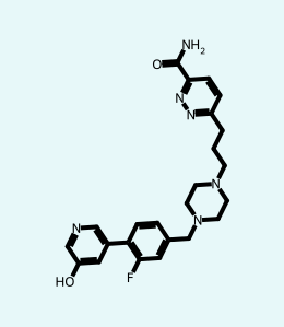 NC(=O)c1ccc(CCCN2CCN(Cc3ccc(-c4cncc(O)c4)c(F)c3)CC2)nn1